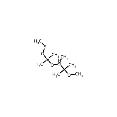 COC(C)(C)[SiH](C)O[Si](C)(C)OSC